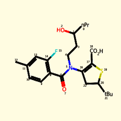 CCCC(O)CCN(C(=O)c1ccc(C)cc1F)C1=C(C(=O)O)SC(C(C)(C)C)C1